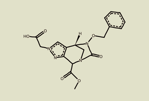 COC(=O)C1c2nn(CC(=O)O)cc2[C@H]2CN1C(=O)N2OCc1ccccc1